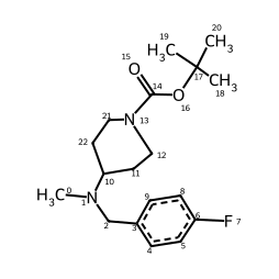 CN(Cc1ccc(F)cc1)C1CCN(C(=O)OC(C)(C)C)CC1